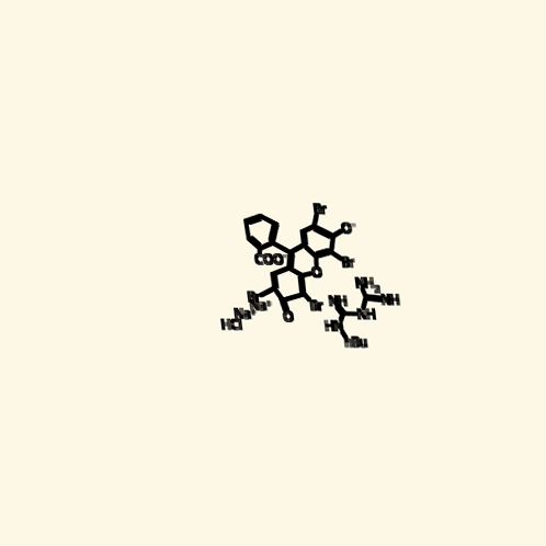 CCCCNC(=N)NC(=N)N.Cl.O=C([O-])c1ccccc1-c1c2cc(Br)c(=O)c(Br)c-2oc2c(Br)c([O-])c(Br)cc12.[Na+].[Na+]